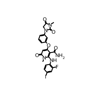 CN1C(=O)CN(c2cccc(Oc3cc(=O)n(C)c(Nc4ccc(I)cc4F)c3C(N)=O)c2)C1=O